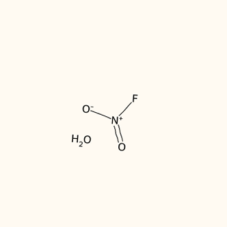 O.O=[N+]([O-])F